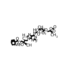 C#C[C@](COC(=O)C12CCC(CC1)C2)(OC)[C@@H](C)Cn1cnc2c(NC(=O)OC(C)(C)CC(=O)OCc3oc(=O)oc3C)nc(F)nc21